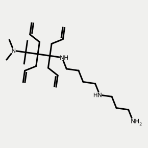 C=CCC(CC=C)(NCCCCNCCCN)C(CC=C)(CC=C)C(C)(C)N(C)C